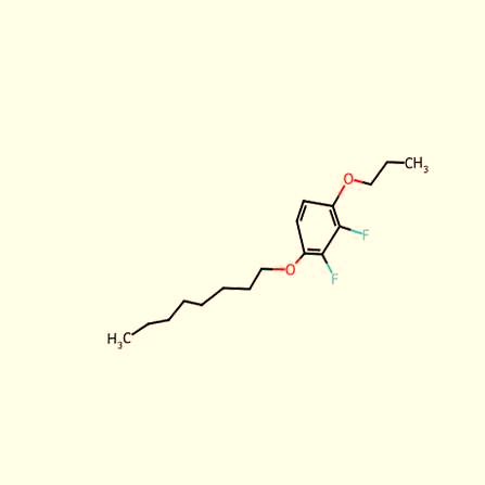 CCCCCCCCOc1ccc(OCCC)c(F)c1F